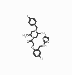 CC1CN(C(=O)COc2ccc(Cl)cc2CNc2ncco2)C(C)CN1Cc1ccc(F)cc1